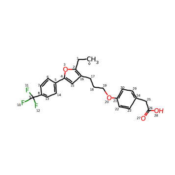 CCc1oc(-c2ccc(C(F)(F)F)cc2)cc1CCCOc1ccc(CC(=O)O)cc1